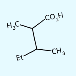 CCC(C)[C](C)C(=O)O